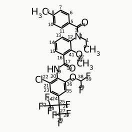 CCN(C(=O)c1ccc(C)cc1)c1cccc(C(=O)Nc2c(Cl)cc(C(F)(C(F)(F)F)C(F)(F)F)cc2OC(F)F)c1OC